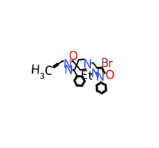 CC#CCN1N=C(c2ccccc2)C2(CCN(Cc3c(Br)c(=O)n(-c4ccccc4)n3CC)CC2)C1=O